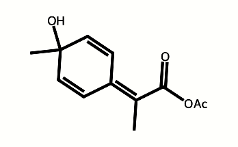 CC(=O)OC(=O)C(C)=C1C=CC(C)(O)C=C1